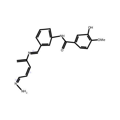 C=C(/C=C\C=N/N)/N=C/c1cccc(NC(=O)c2ccc(OC)c(O)c2)c1